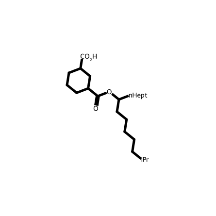 CCCCCCCC(CCCCCC(C)C)OC(=O)C1CCCC(C(=O)O)C1